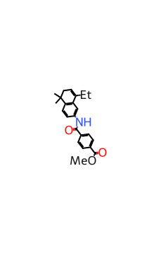 CCC1=CCC(C)(C)c2ccc(NC(=O)c3ccc(C(=O)OC)cc3)cc21